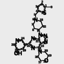 Cc1ccc(CN2CCC(n3nnc4c(N5CCOCC5)nc(-c5cncc(O)c5)nc43)CC2)s1